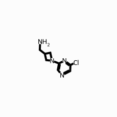 NCC1CN(c2cncc(Cl)n2)C1